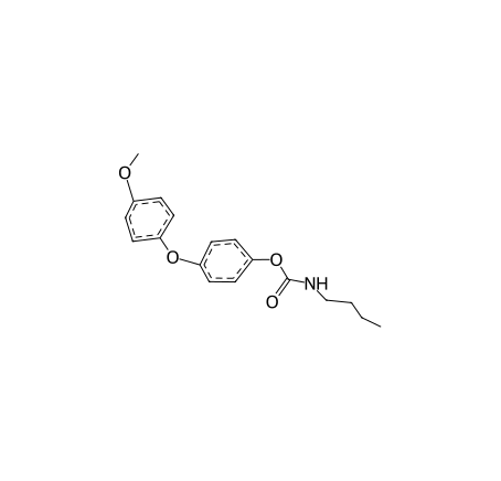 CCCCNC(=O)Oc1ccc(Oc2ccc(OC)cc2)cc1